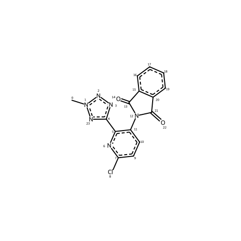 Cn1nnc(-c2nc(Cl)ccc2N2C(=O)c3ccccc3C2=O)n1